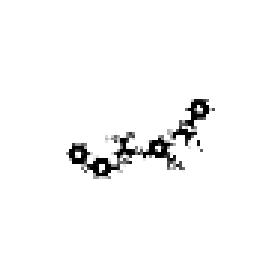 COc1cc(COc2nn(Cc3ccc(Oc4ccccc4)cc3)cc2C(=O)O)ccc1OCc1nc(-c2ccccc2)oc1C